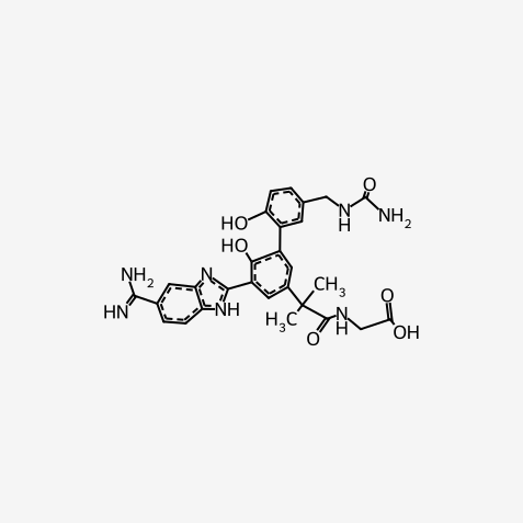 CC(C)(C(=O)NCC(=O)O)c1cc(-c2nc3cc(C(=N)N)ccc3[nH]2)c(O)c(-c2cc(CNC(N)=O)ccc2O)c1